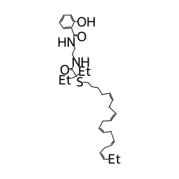 CC/C=C\C/C=C\C/C=C\C/C=C\C/C=C\CCCCSC(CC)(CC)C(=O)NCCNC(=O)c1ccccc1O